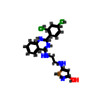 Oc1cc(NCCNc2nc(-c3ccc(Cl)cc3Cl)nc3ccccc23)sn1